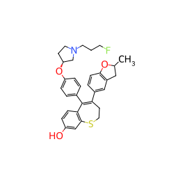 CC1Cc2cc(C3=C(c4ccc(O[C@H]5CCN(CCCF)C5)cc4)c4ccc(O)cc4SCC3)ccc2O1